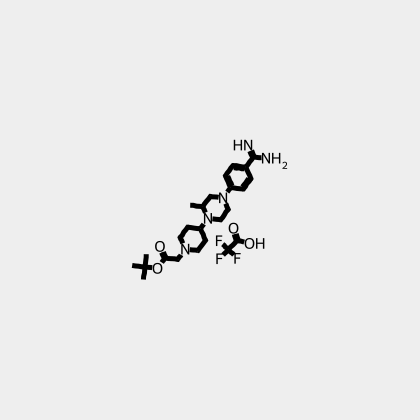 CC1CN(c2ccc(C(=N)N)cc2)CCN1C1CCN(CC(=O)OC(C)(C)C)CC1.O=C(O)C(F)(F)F